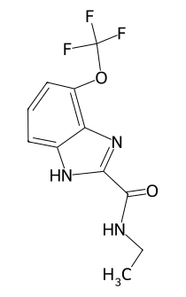 CCNC(=O)c1nc2c(OC(F)(F)F)cccc2[nH]1